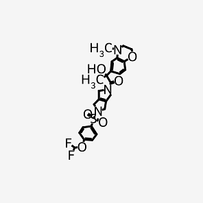 CN1CCOc2ccc(C(C)(O)C(=O)N3CC4=C(C3)CN(S(=O)(=O)c3ccc(OC(F)F)cc3)C4)cc21